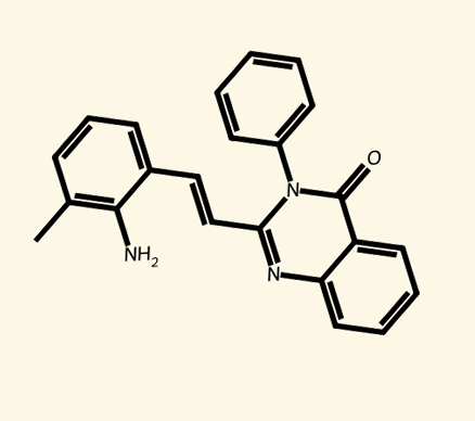 Cc1cccc(/C=C/c2nc3ccccc3c(=O)n2-c2ccccc2)c1N